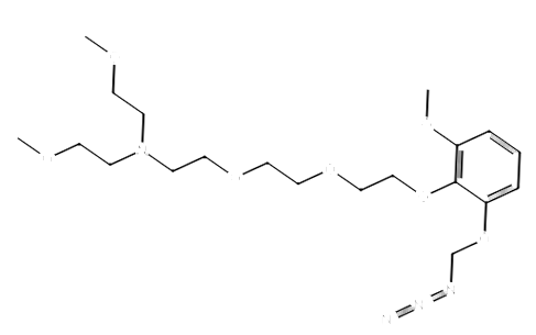 COCCN(CCOC)CCOCCOCCOc1c(OC)cccc1OCN=[N+]=[N-]